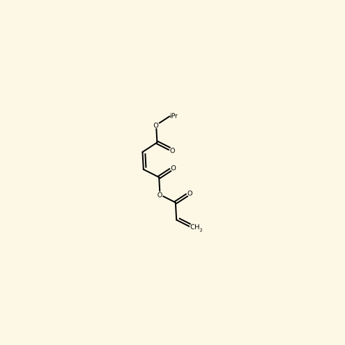 C=CC(=O)OC(=O)/C=C\C(=O)OC(C)C